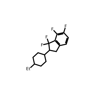 CCC1CCC(C2Cc3ccc(F)c(F)c3C2(F)F)CC1